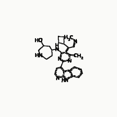 C=c1nc(-c2ccnc3[nH]c4ccccc4c23)nc(NC2CCNCC(O)C2)/c1=C(/C=N\C)C1CCC1